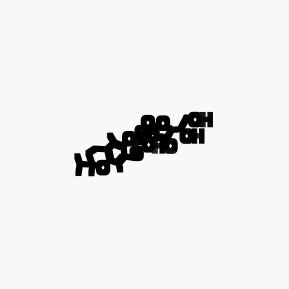 Cc1c(C)c2c(c(C)c1OP(=O)(O)OC1=C(O)C(C(O)CO)OC1=O)CCC(C)(C(C)C)O2